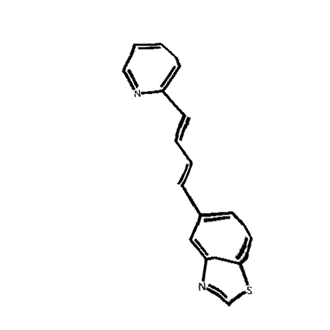 C(C=Cc1ccccn1)=Cc1ccc2scnc2c1